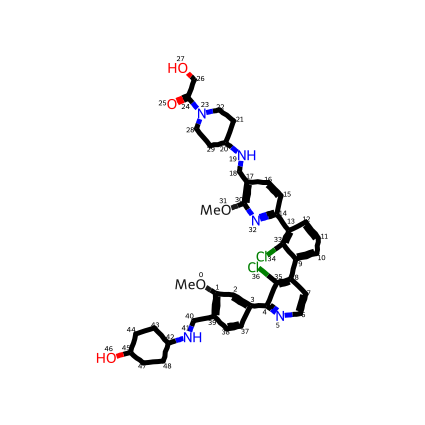 COc1cc(-c2nccc(-c3cccc(-c4ccc(CNC5CCN(C(=O)CO)CC5)c(OC)n4)c3Cl)c2Cl)ccc1CNC1CCC(O)CC1